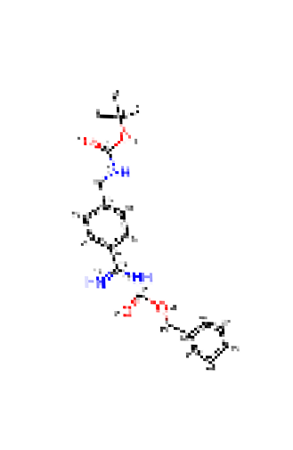 CC(C)(C)OC(=O)NCc1ccc(C(=N)NC(=O)OCc2ccccc2)cc1